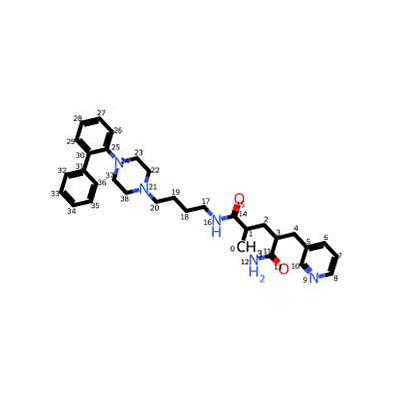 CC(CC(Cc1cccnc1)C(N)=O)C(=O)NCCCCN1CCN(c2ccccc2-c2ccccc2)CC1